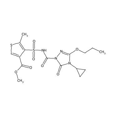 CCCOc1nn(C(=O)NS(=O)(=O)c2c(C(=O)OC)csc2C)c(=O)n1C1CC1